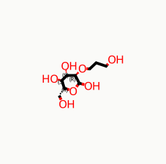 OCCCO[C@H]1C(O)O[C@H](CO)[C@@H](O)[C@@H]1O